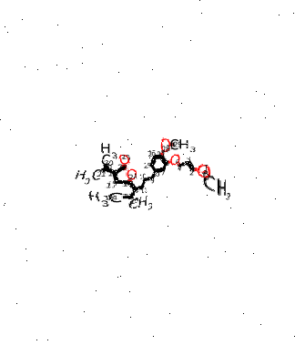 COCCCOc1cc(CCCC(C(C)C)C2CC(C(C)C)C(=O)O2)ccc1OC